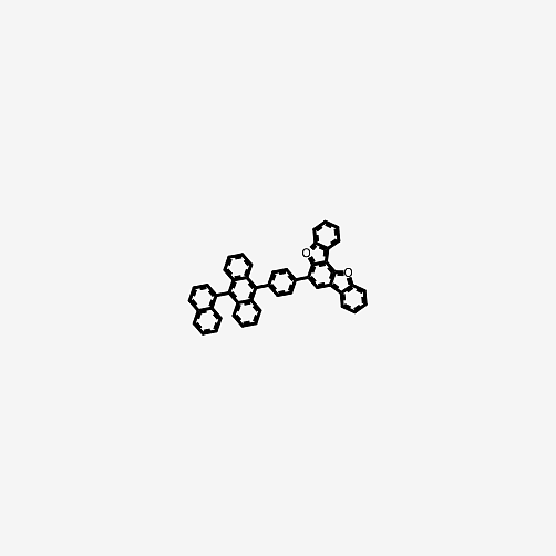 c1ccc2c(-c3c4ccccc4c(-c4ccc(-c5cc6c7ccccc7oc6c6c5oc5ccccc56)cc4)c4ccccc34)cccc2c1